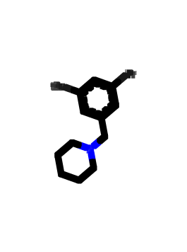 CC(C)c1cc(CN2CCCCC2)cc(C(C)(C)C)c1